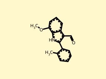 COc1cccc2c(C=O)c(-c3ccccc3C)[nH]c12